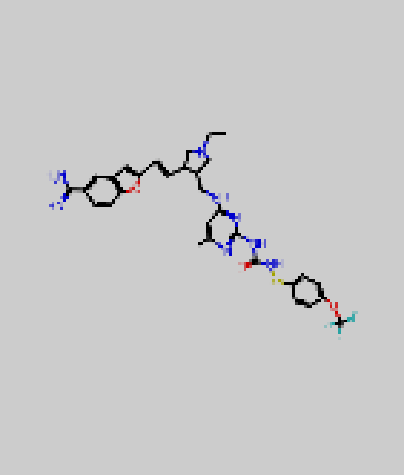 CCN1CC(/C=C/c2cc3cc(C(=N)N)ccc3o2)C(CNc2cc(C)nc(NC(=O)NSc3ccc(OC(F)(F)F)cc3)n2)C1